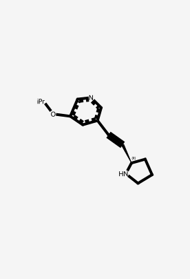 CC(C)Oc1cncc(C#C[C@H]2CCCN2)c1